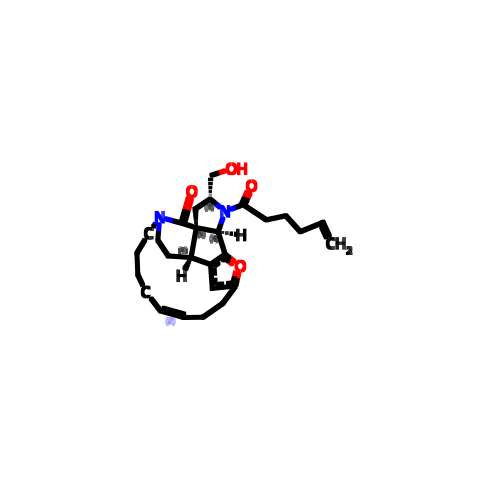 C=CCCCC(=O)N1[C@@H](CO)C[C@@]23C(=O)N4CCCC/C=C\CCc5cc(c(o5)[C@H]12)[C@@H]3CC4